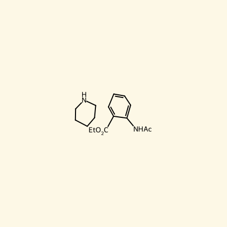 C1CCNCC1.CCOC(=O)c1ccccc1NC(C)=O